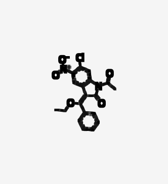 CCOC(=C1C(=O)N(C(C)=O)c2cc(Cl)c([N+](=O)[O-])cc21)c1ccccc1